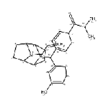 C=CCN1C2CCC1C1CCC2N1C(C1=CCC(C(=O)N(C)C)C=C1)C1=CC(O)=CCC1